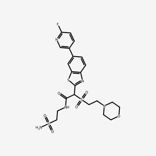 NS(=O)(=O)CCNC(=O)C(c1nc2ccc(-c3ccc(F)nc3)cc2s1)S(=O)(=O)CCN1CCOCC1